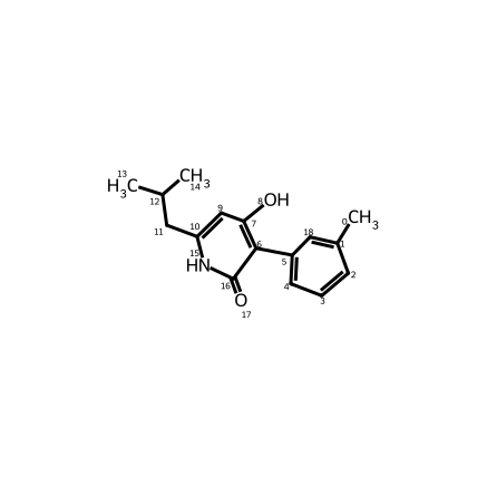 Cc1cccc(-c2c(O)cc(CC(C)C)[nH]c2=O)c1